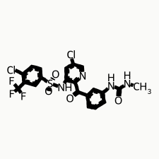 CNC(=O)Nc1cccc(C(=O)c2ncc(Cl)cc2NS(=O)(=O)c2ccc(Cl)c(C(F)(F)F)c2)c1